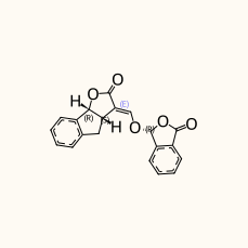 O=C1O[C@H]2c3ccccc3C[C@H]2/C1=C\O[C@@H]1OC(=O)c2ccccc21